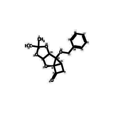 CC1(C)OC2O[C@]34C(=O)CC3C4(OCc3ccccc3)C2O1